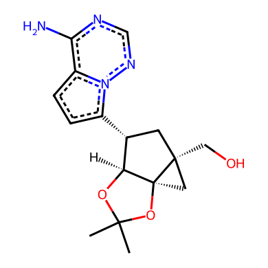 CC1(C)O[C@H]2[C@H](c3ccc4c(N)ncnn34)C[C@@]3(CO)C[C@]23O1